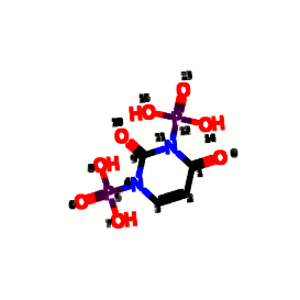 O=c1ccn(P(=O)(O)O)c(=O)n1P(=O)(O)O